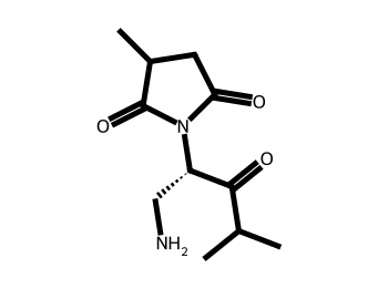 CC(C)C(=O)[C@H](CN)N1C(=O)CC(C)C1=O